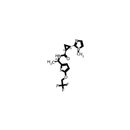 C[C@@H](NC(=O)[C@H]1C[C@@H]1c1nccn1C)c1ccc(OCC(F)(F)F)s1